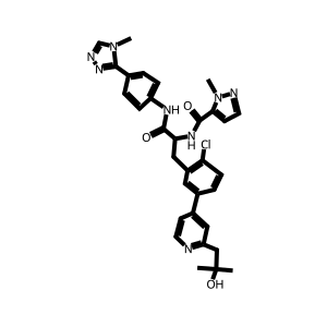 Cn1cnnc1-c1ccc(NC(=O)C(Cc2cc(-c3ccnc(CC(C)(C)O)c3)ccc2Cl)NC(=O)c2ccnn2C)cc1